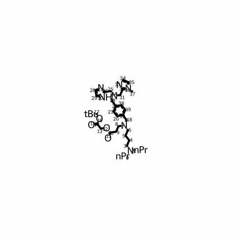 CCCN(CCC)CCCCN(CCC(=O)OCC(=O)OC(C)(C)C)Cc1ccc(CN(Cc2ncc[nH]2)Cc2nccn2C)cc1